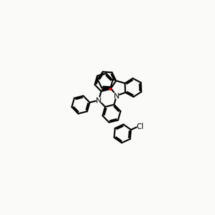 Clc1ccccc1.c1ccc(N(c2ccccc2)c2ccccc2-n2c3ccccc3c3ccccc32)cc1